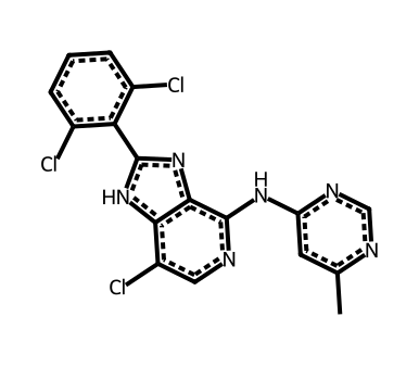 Cc1cc(Nc2ncc(Cl)c3[nH]c(-c4c(Cl)cccc4Cl)nc23)ncn1